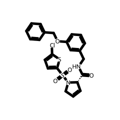 O=C(NCc1cccc(OCc2ccccc2)c1)[C@@H]1C=CCN1S(=O)(=O)c1ccc(Cl)s1